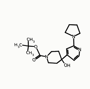 CC(C)(C)OC(=O)N1CCC(O)(c2ccnc(N3CCCC3)c2)CC1